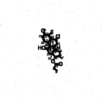 CCC(=O)O[C@@H]1[C@H](C)C[C@H]2[C@@H]3C[C@H](Cl)C4=C(F)C(=O)C=C[C@]4(C)[C@@]3(Cl)[C@@H](O)C[C@]12C